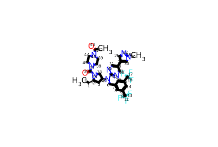 CC[C@@H]1C[C@H](N(Cc2cc(C(F)(F)F)cc(C(F)(F)F)c2)c2ncc(-c3cnn(C)c3)cn2)CN1C(=O)N1CCN(C(C)=O)CC1